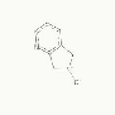 [O-][S+]1Cc2cccnc2C1